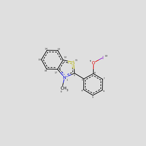 C[n+]1c(-c2ccccc2OI)sc2ccccc21